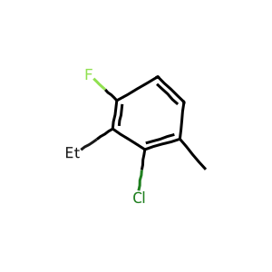 [CH2]Cc1c(F)ccc(C)c1Cl